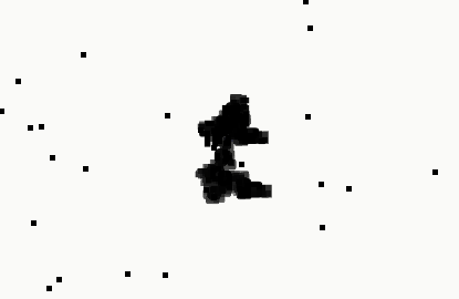 C=C1C[C@H](CCC(O)/C=C/[C@H](O[Si](C)(C)C(C)(C)C)[C@@H]2O[C@H]3CC[C@H](CC)O[C@@H]3[C@H](C)[C@@H]2O[Si](C)(C)C(C)(C)C)OC1CC[C@H]1C[C@@H](C)C(=C)C(C[C@@H]2O[C@H](C[C@H](C)CO[Si](C)(C)C(C)(C)C)[C@H](C)[C@H]2Cc2ccccc2)O1